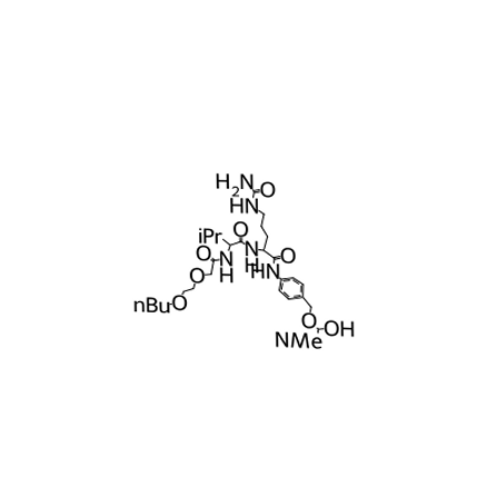 CCCCOCCOCC(=O)NC(C(=O)NC(CCCNC(N)=O)C(=O)Nc1ccc(COC(O)NC)cc1)C(C)C